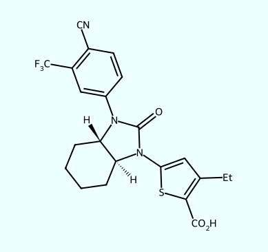 CCc1cc(N2C(=O)N(c3ccc(C#N)c(C(F)(F)F)c3)[C@H]3CCCC[C@@H]32)sc1C(=O)O